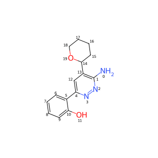 Nc1nnc(-c2ccccc2O)cc1C1CCCCO1